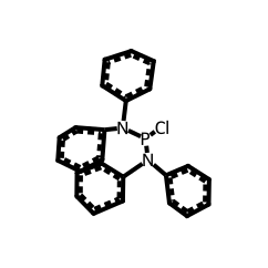 ClP(N(c1ccccc1)c1ccccc1)N(c1ccccc1)c1ccccc1